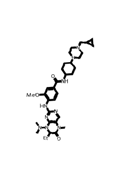 CCC1C(=O)N(C)c2cnc(Nc3ccc(C(=O)NC4CCC(N5CCN(CC6CC6)CC5)CC4)cc3OC)nc2N1N(C)C